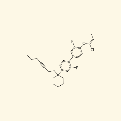 C/C=C(/Cl)Oc1ccc(-c2ccc(C3(CCC#CCCC)CCCCC3)cc2F)cc1F